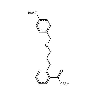 COc1ccc(COCCCc2ccccc2C(=O)SC)cc1